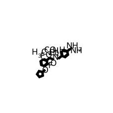 CC(=O)O.CCOC(C(=O)NCc1ccc(C(=N)N)cc1)c1c(F)ccc(OC2CCCC2)c1F